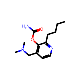 CCCCc1nccc(CN(C)C)c1OC(N)=O